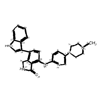 CN1CCN(c2ccc(Nc3ccc(-c4c[nH]c5ccccc45)c4c3C(=O)NC4)nc2)CC1